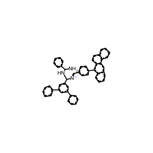 NC(NC(/N=C/c1ccc(-c2c3ccccc3cc3c2ccc2ccccc23)cc1)c1cc(-c2ccccc2)cc(-c2ccccc2)c1)c1ccccc1